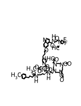 C#C[C@H]1CC(F)(F)CN1C(=O)CNC(=O)c1ccnc2ccc(OCCCN3CCN(C(=O)[C@H](CC(=O)OC)NC(=O)[C@H](CCCCNC(=O)CCCc4ccc(C)cc4)NC(=O)CN4CCN(COC=O)CCN(COC=O)CCN(CC(=O)O)CC4)CC3)cc12